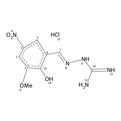 COc1cc([N+](=O)[O-])cc(C=NNC(=N)N)c1O.Cl